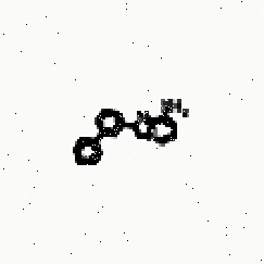 NC1=CC=CN2CC(c3cccc(-c4ccccc4)c3)N=C12